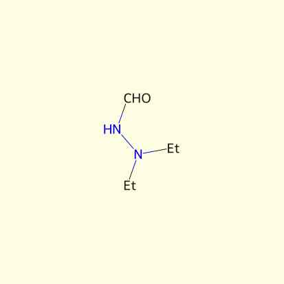 CCN(CC)NC=O